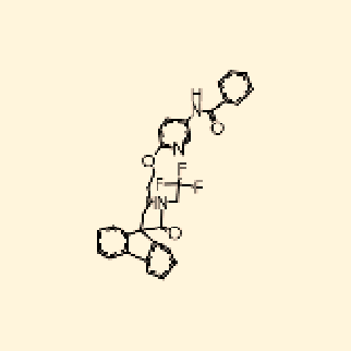 O=C(Nc1ccc(OCCCCC2(C(=O)NCC(F)(F)F)c3ccccc3-c3ccccc32)nc1)c1ccccc1